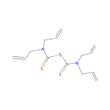 C=CCN(CC=C)C(=S)SC(=S)N(CC=C)CC=C